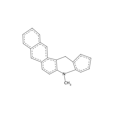 CN1c2ccccc2Cc2c1ccc1cc3ccccc3cc21